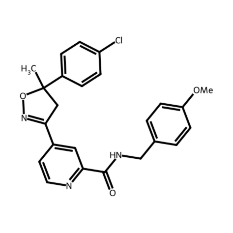 COc1ccc(CNC(=O)c2cc(C3=NOC(C)(c4ccc(Cl)cc4)C3)ccn2)cc1